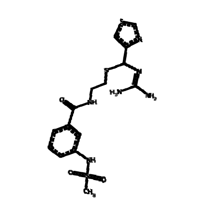 CS(=O)(=O)Nc1cccc(C(=O)NCCSC(N=C(N)N)c2cscn2)c1